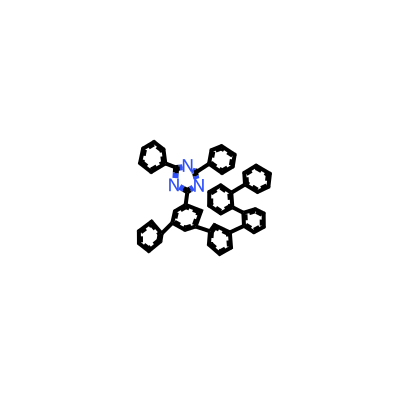 c1ccc(-c2cc(-c3cccc(-c4ccccc4-c4ccccc4-c4ccccc4)c3)cc(-c3nc(-c4ccccc4)nc(-c4ccccc4)n3)c2)cc1